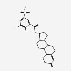 COc1cc(S(N)(=O)=O)cc(C(=O)O[C@H]2CCC3C4C(CC[C@@]32C)C2CCC(=O)C=C2C[C@H]4C)c1OC